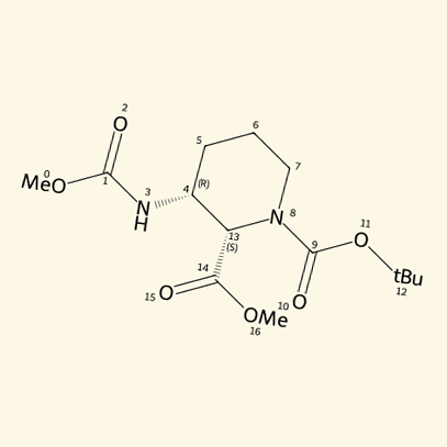 COC(=O)N[C@@H]1CCCN(C(=O)OC(C)(C)C)[C@@H]1C(=O)OC